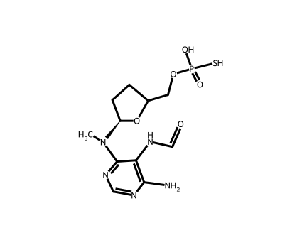 CN(c1ncnc(N)c1NC=O)[C@H]1CCC(COP(=O)(O)S)O1